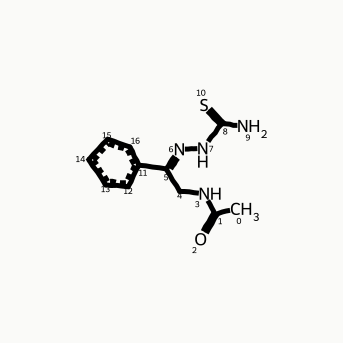 CC(=O)NCC(=NNC(N)=S)c1ccccc1